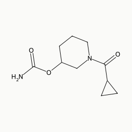 NC(=O)OC1CCCN(C(=O)C2CC2)C1